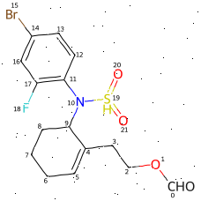 O=COCCC1=CCCCC1N(c1ccc(Br)cc1F)[SH](=O)=O